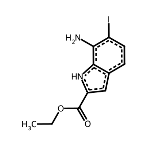 CCOC(=O)c1cc2ccc(I)c(N)c2[nH]1